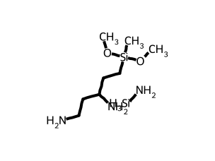 CO[Si](C)(CCC(N)CCN)OC.N[SiH3]